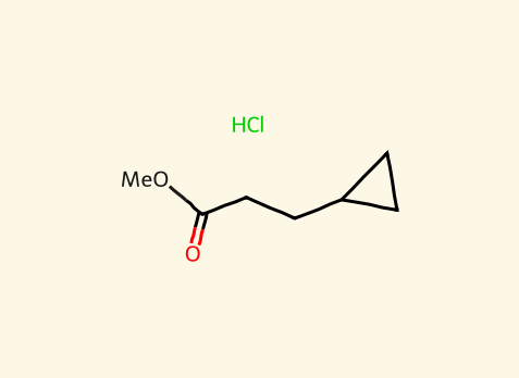 COC(=O)CCC1CC1.Cl